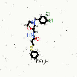 O=C(CCSc1ccc(C(=O)O)cc1)NCC1CN(Cc2ccc(Cl)c(Cl)c2)CCO1